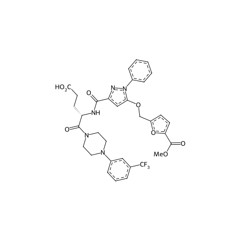 COC(=O)c1ccc(COc2cc(C(=O)N[C@@H](CCC(=O)O)C(=O)N3CCN(c4cccc(C(F)(F)F)c4)CC3)nn2-c2ccccc2)o1